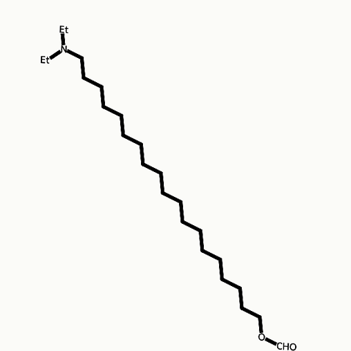 CCN(CC)CCCCCCCCCCCCCCCCCCCOC=O